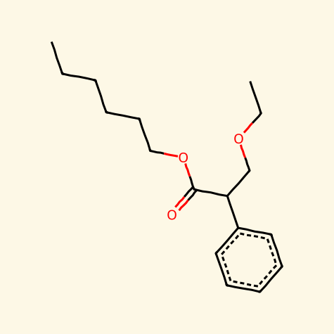 CCCCCCOC(=O)C(COCC)c1ccccc1